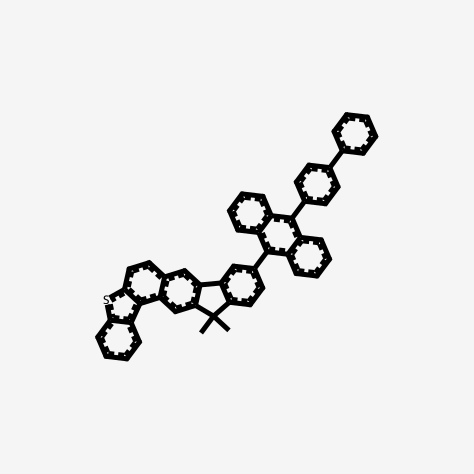 CC1(C)c2ccc(-c3c4ccccc4c(-c4ccc(-c5ccccc5)cc4)c4ccccc34)cc2-c2cc3ccc4sc5ccccc5c4c3cc21